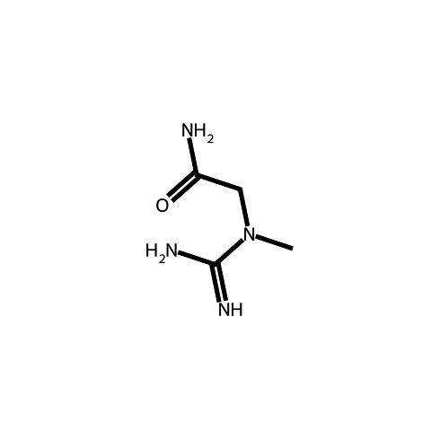 CN(CC(N)=O)C(=N)N